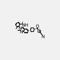 Cc1cccc([C@@H](C)Nc2nc(C)nc3ccc([C@H]4CC[C@H](C(=O)N5CC(C#N)C5)CC4)cc23)c1